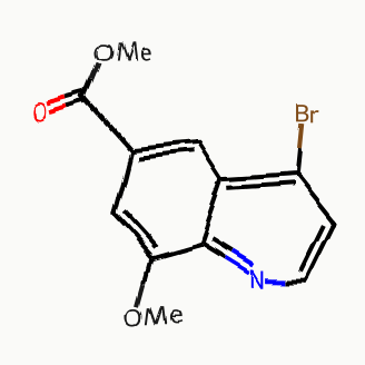 COC(=O)c1cc(OC)c2nccc(Br)c2c1